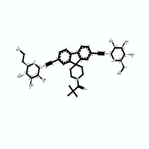 CC(C)(C)C(=O)N1CCC2(CC1)c1cc(C#C[C@H]3O[C@H](CO)[C@@H](O)[C@H](O)[C@@H]3O)ccc1-c1ccc(C#C[C@H]3O[C@H](CCO)[C@@H](O)[C@H](O)[C@@H]3O)cc12